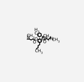 C=C(C)[C@@H]1CCC(C)=C[C@H]1c1c(OC(=O)CCC2CN2C)cc(CCCCC)cc1OC(=O)CCC1CN1C